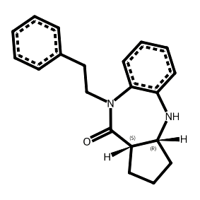 O=C1[C@H]2CCC[C@H]2Nc2ccccc2N1CCc1ccccc1